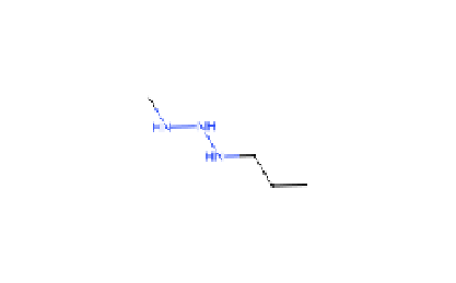 CCCNNNC